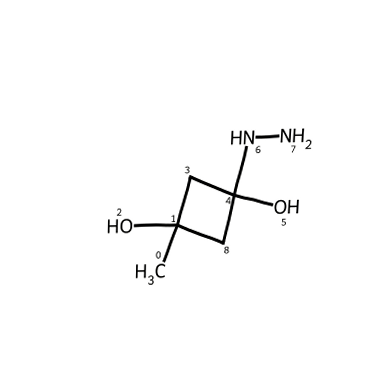 CC1(O)CC(O)(NN)C1